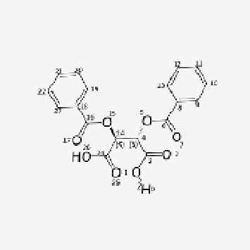 [2H]OC(=O)[C@@H](OC(=O)c1ccccc1)[C@H](OC(=O)c1ccccc1)C(=O)O